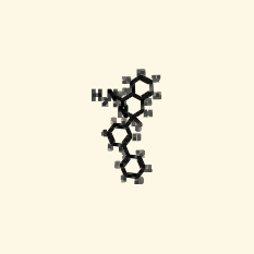 CC1(c2cccc(-c3ccccc3)c2)Cc2ccccc2C(N)=N1